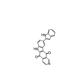 O=C1c2ccncc2C(=O)c2c1[nH]c1ccc(-c3cc4ccccc4[nH]3)cc21